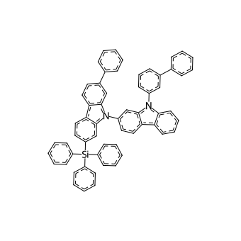 c1ccc(-c2cccc(-n3c4ccccc4c4ccc(-n5c6cc(-c7ccccc7)ccc6c6ccc([Si](c7ccccc7)(c7ccccc7)c7ccccc7)cc65)cc43)c2)cc1